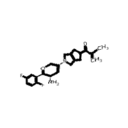 CC(C)C(=O)C1CC2=C(C1)CN([C@H]1CO[C@H](c3cc(F)ccc3F)[C@@H](N)C1)C2